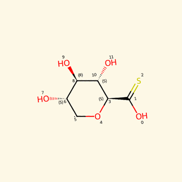 OC(=S)[C@H]1O[CH][C@H](O)[C@@H](O)[C@@H]1O